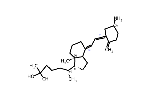 C=C1CC[C@H](N)C/C1=C/C=C1\CCC[C@@]2(C)C1CC[C@@H]2[C@H](C)CCCC(C)(C)O